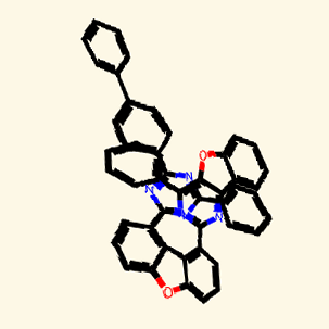 c1ccc(-c2ccc(-c3nc(-c4ccccc4)nc(-c4cccc5oc6cccc(-c7nc(-c8ccccc8)c8oc9ccccc9c8n7)c6c45)n3)cc2)cc1